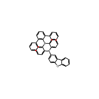 c1ccc(-c2cccc(-c3ccccc3)c2B2c3ccccc3N(c3ccc4oc5ccccc5c4c3)c3ccccc32)cc1